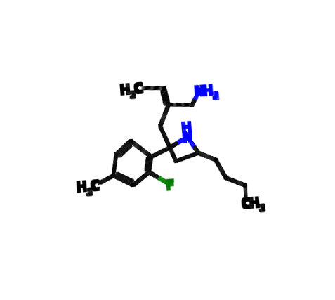 C/C=C(/CN)CC1(c2ccc(C)cc2F)CC(CCCC)N1